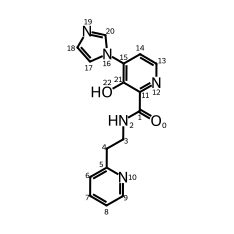 O=C(NCCc1ccccn1)c1nccc(-n2ccnc2)c1O